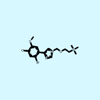 COc1cc(-c2cn(COCC[Si](C)(C)C)cn2)c(Br)cc1Cl